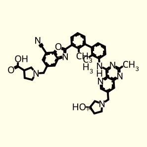 Cc1nc(Nc2cccc(-c3cccc(-c4nc5cc(CN6CCC(C(=O)O)C6)cc(C#N)c5o4)c3C)c2C)c2ncc(CN3CC[C@@H](O)C3)cc2n1